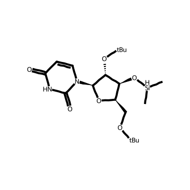 C[SiH](C)O[C@@H]1[C@@H](OC(C)(C)C)[C@H](n2ccc(=O)[nH]c2=O)O[C@@H]1COC(C)(C)C